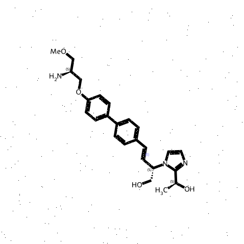 COC[C@H](N)COc1ccc(-c2ccc(/C=C/[C@@H](CO)n3ccnc3[C@H](C)O)cc2)cc1